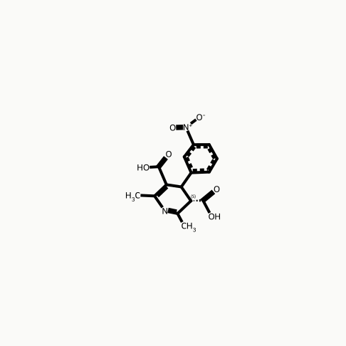 CC1=NC(C)=C(C(=O)O)C(c2cccc([N+](=O)[O-])c2)[C@@H]1C(=O)O